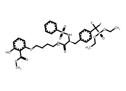 CCOP(=O)(OCC)C(F)(F)c1ccc(C[C@H](NS(=O)(=O)c2ccccc2)C(=O)NCCCCOc2cccc(O)c2C(=O)OC)cc1